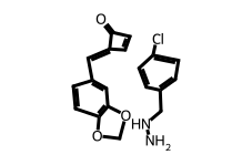 NNCc1ccc(Cl)cc1.O=C1C=CC1=Cc1ccc2c(c1)OCO2